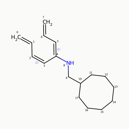 C=C/C=C\C(=C/C=C)NCC1CCCCCCC1